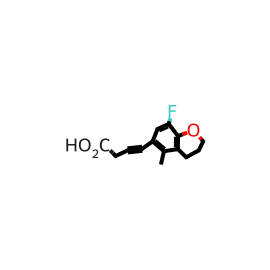 Cc1c(C#CCC(=O)O)cc(F)c2c1CCCO2